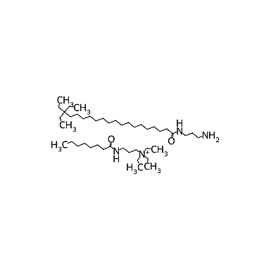 CCC(CC)(CC)CCCCCCCCCCCCCCCCC(=O)NCCCN.CCCCCCCC(=O)NCCC[N+](CC)(CC)CC